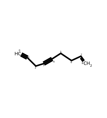 C#CCC#CCCC=C